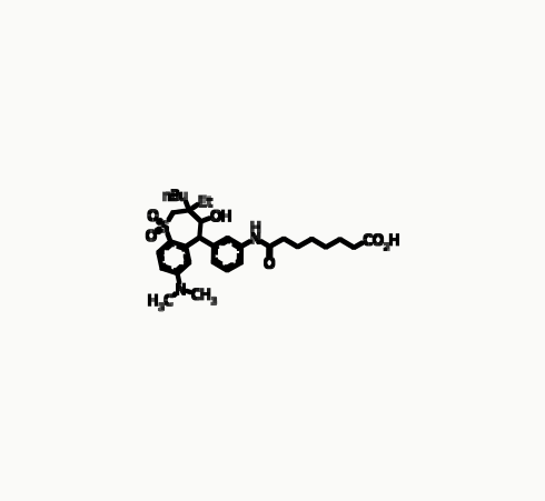 CCCCC1(CC)CS(=O)(=O)c2ccc(N(C)C)cc2C(c2cccc(NC(=O)CCCCCCC(=O)O)c2)C1O